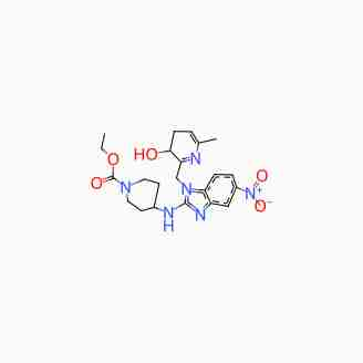 CCOC(=O)N1CCC(Nc2nc3cc([N+](=O)[O-])ccc3n2CC2=NC(C)=CCC2O)CC1